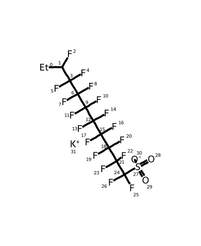 CCC(F)C(F)(F)C(F)(F)C(F)(F)C(F)(F)C(F)(F)C(F)(F)C(F)(F)C(F)(F)S(=O)(=O)[O-].[K+]